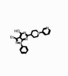 CCc1nn(-c2ccccc2)c2nc(C3CCN(c4cccnc4)CC3)nc(O)c12